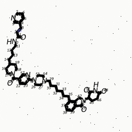 O=C(/C=C/c1cccnc1)NCCCCC1CCN(C(=O)c2ccc(N3CCN(CCCCCCCc4cccc5c4CN(C4CCC(=O)NC4=O)C5=O)CC3)nc2)CC1